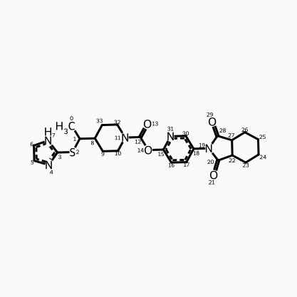 CC(Sc1ncc[nH]1)C1CCN(C(=O)Oc2ccc(N3C(=O)C4CCCCC4C3=O)cn2)CC1